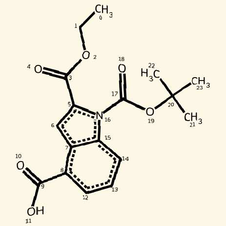 CCOC(=O)c1cc2c(C(=O)O)cccc2n1C(=O)OC(C)(C)C